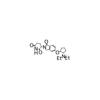 CCN(CC)[C@H]1CCC[C@@H]1Oc1ccc2c(c1)CN(C1CCC(=O)NC1=O)C2=O